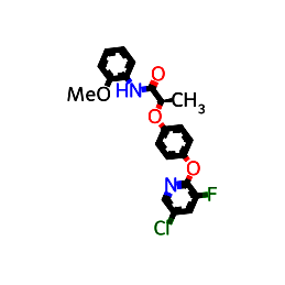 COc1ccccc1NC(=O)[C@@H](C)Oc1ccc(Oc2ncc(Cl)cc2F)cc1